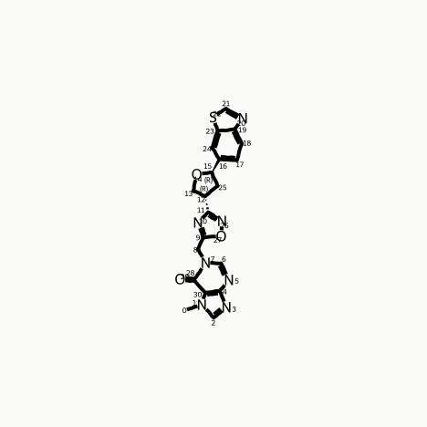 Cn1cnc2ncn(Cc3nc([C@@H]4CO[C@@H](c5ccc6ncsc6c5)C4)no3)c(=O)c21